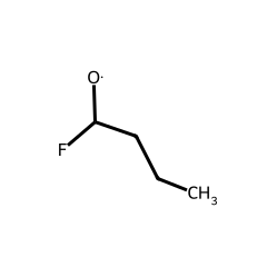 CCCC([O])F